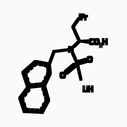 CC(C)C[C@@H](C(=O)O)N(Cc1ccc2ccccc2c1)S(C)(=O)=O.[LiH]